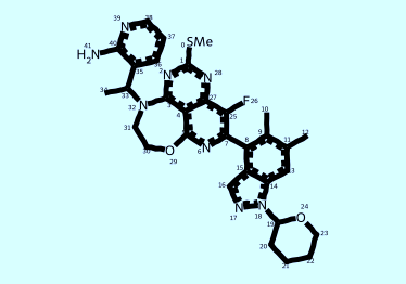 CSc1nc2c3c(nc(-c4c(C)c(C)cc5c4cnn5C4CCCCO4)c(F)c3n1)OCCN2C(C)c1cccnc1N